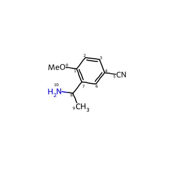 COc1ccc(C#N)cc1C(C)N